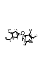 CC[C@@H]1C[C@@H](Oc2nc(C)nc(C)c2C)C[C@@H]1C